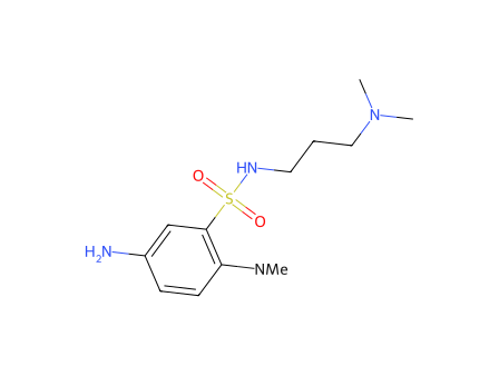 CNc1ccc(N)cc1S(=O)(=O)NCCCN(C)C